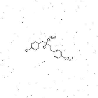 O=C(O)c1ccc(C=CS(=O)(=O)Cc2ccc(Cl)cc2)cc1.[NaH]